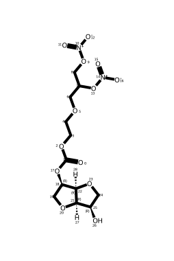 O=C(OCCOCC(CO[N+](=O)[O-])O[N+](=O)[O-])O[C@@H]1CO[C@H]2[C@@H]1OC[C@H]2O